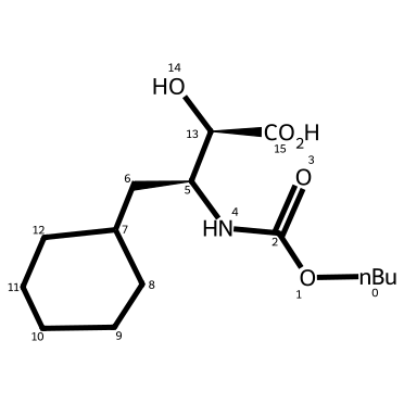 CCCCOC(=O)N[C@@H](CC1CCCCC1)[C@@H](O)C(=O)O